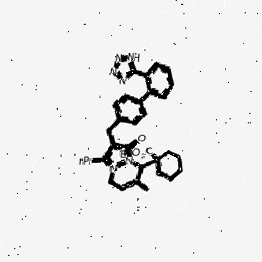 CCCc1c(Cc2ccc(-c3ccccc3-c3nnn[nH]3)cc2)c(=O)n2n1CC=C(C)C2C1(C(=O)OCC)CCCCC1